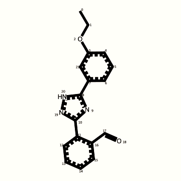 CCOc1cccc(-c2nc(-c3ccccc3C=O)n[nH]2)c1